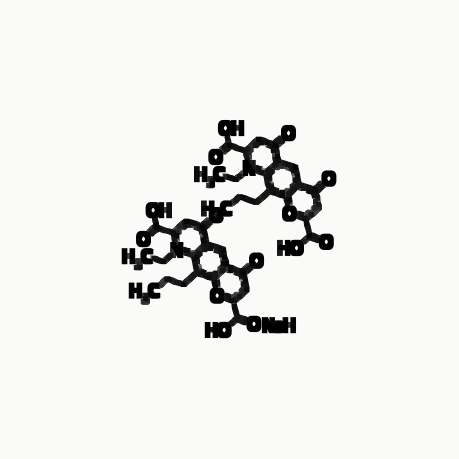 CCCc1c2oc(C(=O)O)cc(=O)c2cc2c(=O)cc(C(=O)O)n(CC)c12.CCCc1c2oc(C(=O)O)cc(=O)c2cc2c(=O)cc(C(=O)O)n(CC)c12.[NaH]